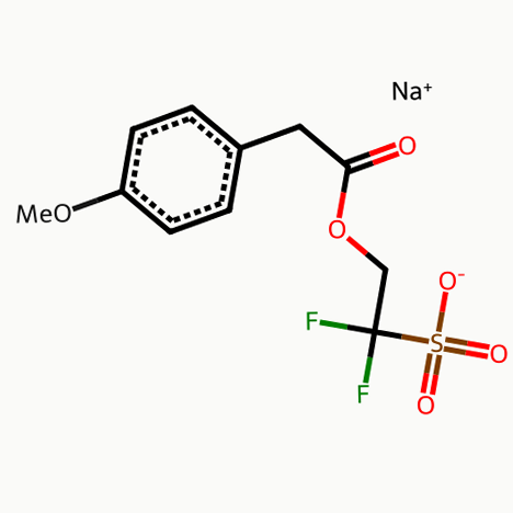 COc1ccc(CC(=O)OCC(F)(F)S(=O)(=O)[O-])cc1.[Na+]